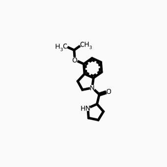 CC(C)Oc1cccc2c1CCN2C(=O)C1CCCN1